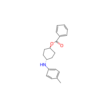 Cc1ccc(N[C@H]2CC[C@H](OC(=O)c3ccccc3)CC2)cc1